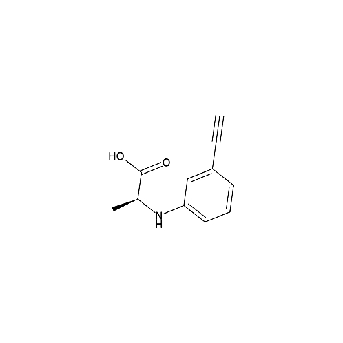 C#Cc1cccc(N[C@@H](C)C(=O)O)c1